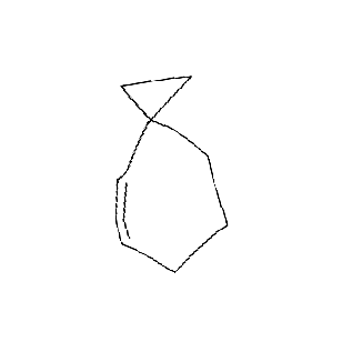 C1=CC2(CCC1)CC2